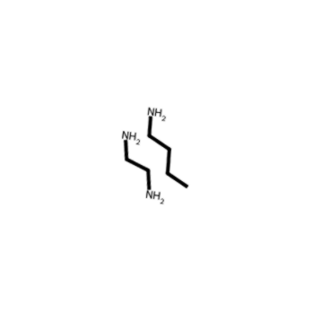 CCCCN.NCCN